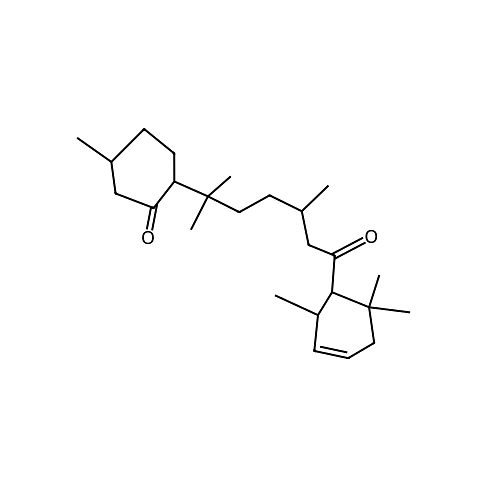 CC1CCC(C(C)(C)CCC(C)CC(=O)C2C(C)C=CCC2(C)C)C(=O)C1